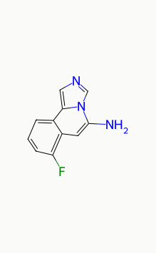 Nc1cc2c(F)cccc2c2cncn12